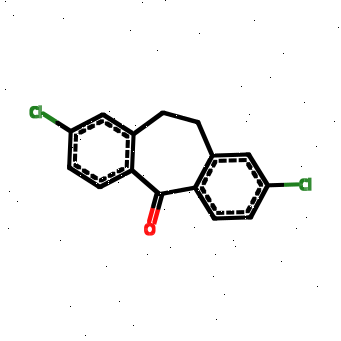 O=C1c2ccc(Cl)cc2CCc2cc(Cl)ccc21